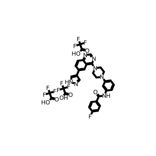 O=C(Nc1cccc(N2CCN(c3ncnc4ccc(-c5cn[nH]c5)cc34)CC2)c1)c1ccc(F)cc1.O=C(O)C(F)(F)F.O=C(O)C(F)(F)F.O=C(O)C(F)(F)F